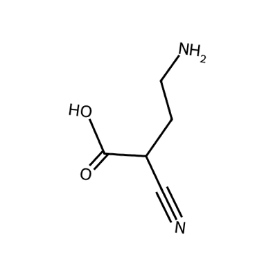 N#CC(CCN)C(=O)O